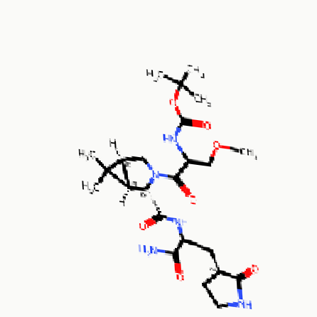 COCC(NC(=O)OC(C)(C)C)C(=O)N1C[C@H]2[C@@H]([C@H]1C(=O)NC(C[C@@H]1CCNC1=O)C(N)=O)C2(C)C